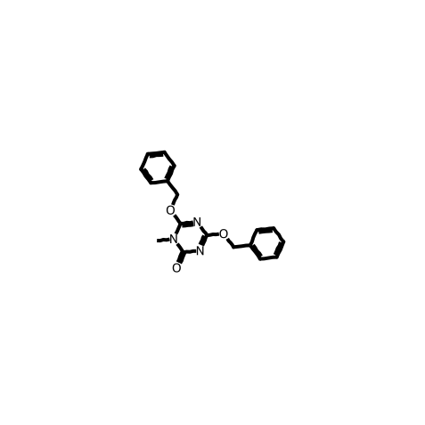 Cn1c(OCc2ccccc2)nc(OCc2ccccc2)nc1=O